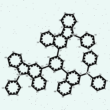 c1ccc(N(c2ccccc2)c2cc(-c3cc(-c4cc5c(c6ccccc46)c4ccccc4n5-c4ccccc4)cc(-c4cc5c6ccccc6n(-c6ccccc6)c5c5ccccc45)c3)c3ccccc3c2)cc1